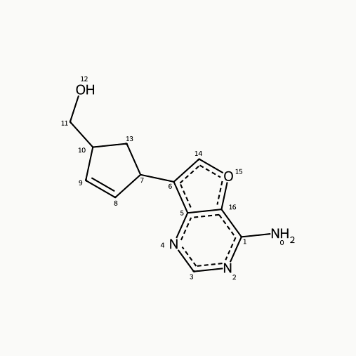 Nc1ncnc2c(C3C=CC(CO)C3)coc12